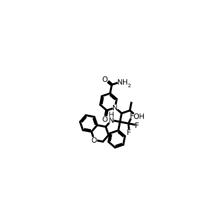 CC(O)C(n1cc(C(N)=O)ccc1=O)C(NC1CCOc2ccccc21)(c1ccccc1)C(F)(F)F